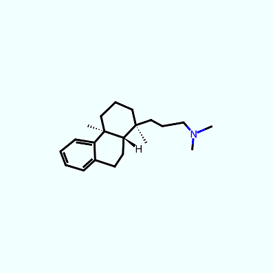 CN(C)CCC[C@]1(C)CCC[C@]2(C)c3ccccc3CC[C@@H]12